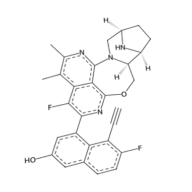 C#Cc1c(F)ccc2cc(O)cc(-c3nc4c5c(nc(C)c(C)c5c3F)N3C[C@H]5CC[C@H](N5)[C@H]3CO4)c12